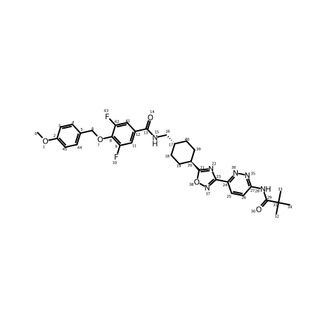 COc1ccc(COc2c(F)cc(C(=O)NC[C@H]3CC[C@H](c4nc(-c5ccc(NC(=O)C(C)(C)C)nn5)no4)CC3)cc2F)cc1